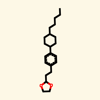 CCCCCC1CCC(c2ccc(CCC3OCCO3)cc2)CC1